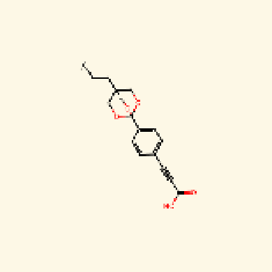 CCCC12COC(c3ccc(C#CC(=O)O)cc3)(OC1)OC2